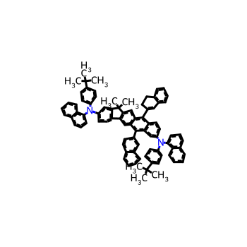 CC(C)(C)c1ccc(N(c2ccc3c(c2)C(C)(C)c2cc4c(C5=Cc6ccccc6CC5)c5ccc(N(c6ccc(C(C)(C)C)cc6)c6cccc7ccccc67)cc5c(-c5ccc6ccccc6c5)c4cc2-3)c2cccc3ccccc23)cc1